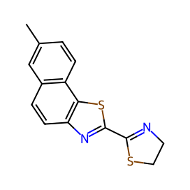 Cc1ccc2c(ccc3nc(C4=NCCS4)sc32)c1